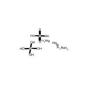 O=S(=O)(O)O.O[Si](O)(O)O.[AlH3].[BaH2].[MgH2].[SrH2]